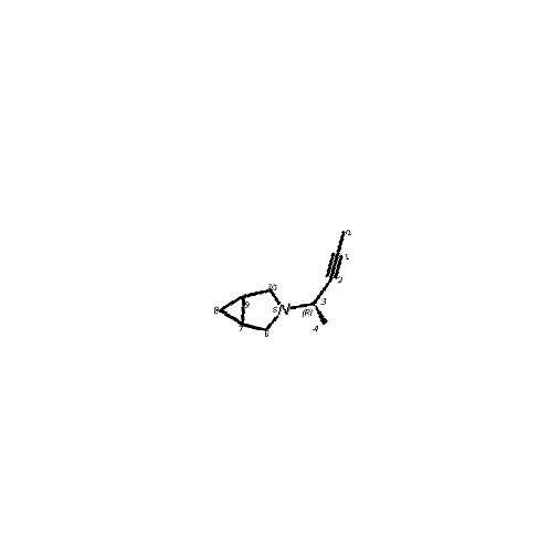 CC#C[C@@H](C)N1CC2CC2C1